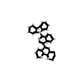 c1cnc2c(c1)cc(-c1cnc(-n3c4ccccc4c4ccccc43)c3ccccc13)c1cccnc12